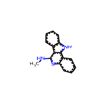 CNc1nc2ccccc2c2[nH]c3ccccc3c12